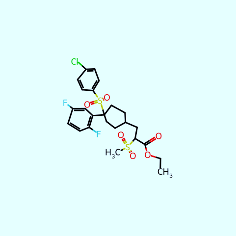 CCOC(=O)C(CC1CCC(c2cc(F)ccc2F)(S(=O)(=O)c2ccc(Cl)cc2)CC1)S(C)(=O)=O